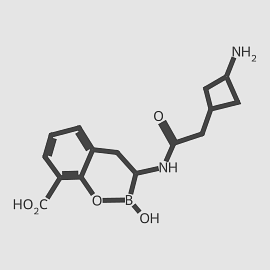 NC1CC(CC(=O)NC2Cc3cccc(C(=O)O)c3OB2O)C1